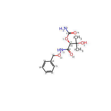 CC(C)(O)[C@H](OC(N)=O)C(=O)NOCc1ccccc1